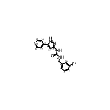 O=C(NCc1cccc(F)c1)Nc1cc(-c2ccncc2)[nH]n1